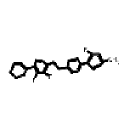 Cc1ccc(-c2ccc(CCc3ccc(C4=CCCCC4)c(F)c3F)cc2)c(F)c1